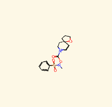 CN(OC(=O)N1CCC2(CCCO2)CC1)S(=O)(=O)c1ccccc1